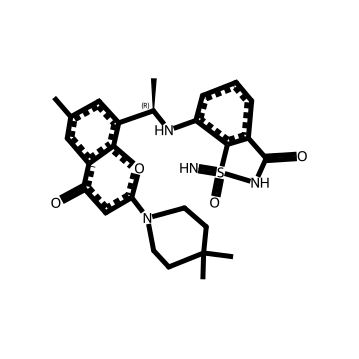 Cc1cc([C@@H](C)Nc2cccc3c2S(=N)(=O)NC3=O)c2oc(N3CCC(C)(C)CC3)cc(=O)c2c1